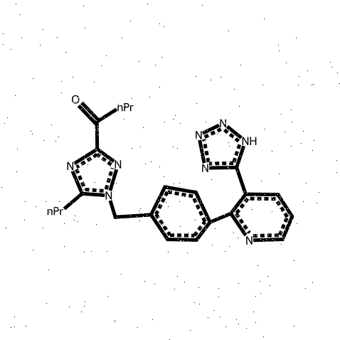 CCCC(=O)c1nc(CCC)n(Cc2ccc(-c3ncccc3-c3nnn[nH]3)cc2)n1